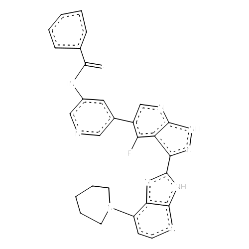 O=C(Nc1cncc(-c2cnc3[nH]nc(-c4nc5c(N6CCCCC6)ccnc5[nH]4)c3c2F)c1)c1ccccc1